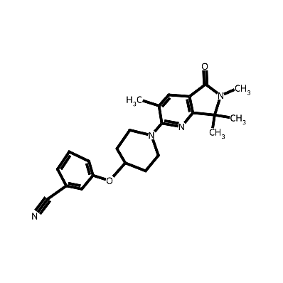 Cc1cc2c(nc1N1CCC(Oc3cccc(C#N)c3)CC1)C(C)(C)N(C)C2=O